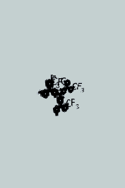 Cc1cccc(N(c2cccc(C(F)(F)F)c2)c2ccc(N(c3ccc(N(c4cccc(C)c4)c4cccc(C(F)(F)F)c4)cc3C)c3ccc(N(c4cccc(C(F)(F)F)c4)c4cccc(C(F)(F)F)c4)cc3C)c(C)c2)c1